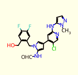 Cn1nccc1Nc1cc(-c2cc(NC=O)n(Cc3cc(F)c(F)cc3CO)c2)c(Cl)cn1